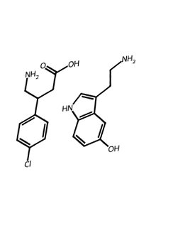 NCC(CC(=O)O)c1ccc(Cl)cc1.NCCc1c[nH]c2ccc(O)cc12